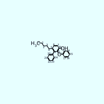 CCCCCc1ccc(O)c(Oc2ccccc2)c1-c1ccccc1